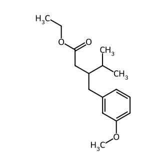 CCOC(=O)CC(Cc1cccc(OC)c1)C(C)C